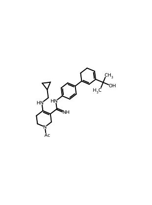 CC(=O)N1CCC(NCC2CC2)=C(C(=N)Nc2ccc(C3=CC(C(C)(C)O)=CCC3)cc2)C1